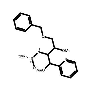 COC(COCc1ccccc1)C(N[S@+]([O-])C(C)(C)C)C(OC)c1ccccn1